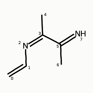 C=C/N=C(/C)C(C)=N